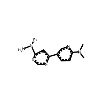 CCN(N)c1cc(-c2ccc(N(C)C)nc2)ncn1